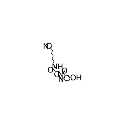 O=C(NCCCCCCc1cccnc1)c1ccc2nc3ccc(O)cc3c(=O)n2c1